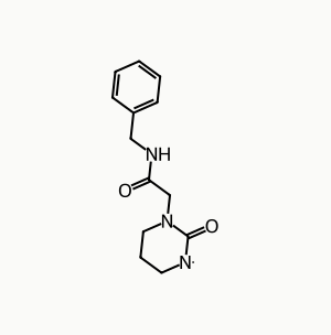 O=C(CN1CCC[N]C1=O)NCc1ccccc1